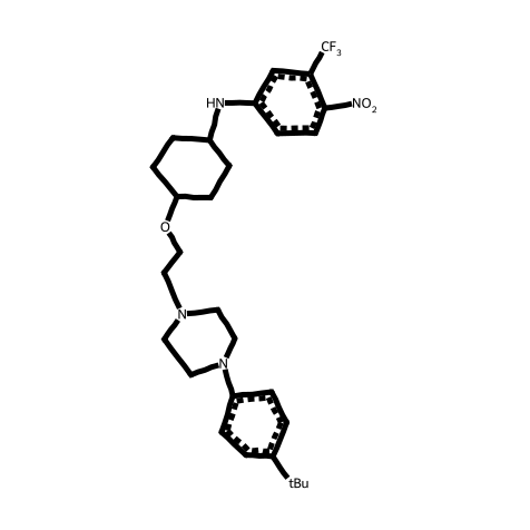 CC(C)(C)c1ccc(N2CCN(CCOC3CCC(Nc4ccc([N+](=O)[O-])c(C(F)(F)F)c4)CC3)CC2)cc1